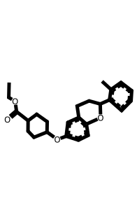 CCOC(=O)C1CCC(Oc2ccc3c(c2)CCC(c2ccccc2C)O3)CC1